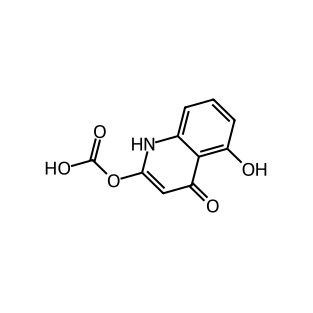 O=C(O)Oc1cc(=O)c2c(O)cccc2[nH]1